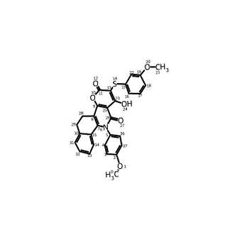 COc1ccc(-n2c3c(c4oc(=O)c(Sc5cccc(OC)c5)c(O)c4c2=O)CCc2ccccc2-3)cc1